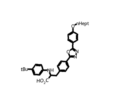 CCCCCCCOc1ccc(-c2nnc(-c3ccc(CC(Nc4ccc(C(C)(C)C)cc4)C(=O)O)cc3)o2)cc1